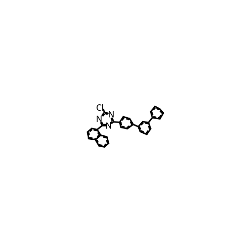 Clc1nc(-c2ccc(-c3cccc(-c4ccccc4)c3)cc2)nc(-c2cccc3ccccc23)n1